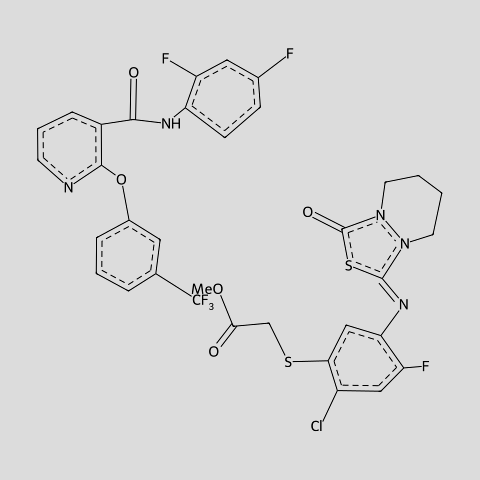 COC(=O)CSc1cc(/N=c2\sc(=O)n3n2CCCC3)c(F)cc1Cl.O=C(Nc1ccc(F)cc1F)c1cccnc1Oc1cccc(C(F)(F)F)c1